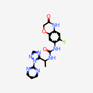 CC(NC(=O)Nc1cc2c(cc1F)NC(=O)CO2)c1ncnn1-c1ncccn1